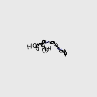 O=C(O)CCCc1cn(CC(=O)O)c2c(/C=C/c3ccc(OC/C=C/COc4ccccc4F)cc3)cccc12